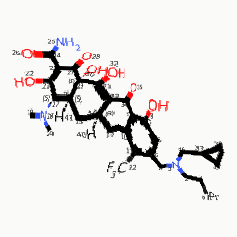 CC(C)CCN(Cc1cc(O)c2c(c1C(F)(F)F)C[C@H]1C[C@H]3[C@H](N(C)C)C(O)=C(C(N)=O)C(=O)[C@@]3(O)C(O)=C1C2=O)CC1CC1